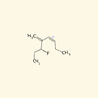 C=C(/C=C\CC)C(F)CC